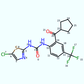 O=C(Nc1ncc(Cl)s1)Nc1ccc(C(F)(F)F)cc1C(=O)C1CCCC1